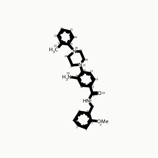 COc1ccccc1CNC(=O)c1ccc(N2CCN(c3ccccc3C)CC2)c(N)c1